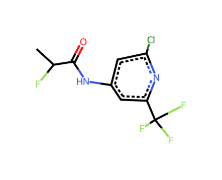 CC(F)C(=O)Nc1cc(Cl)nc(C(F)(F)F)c1